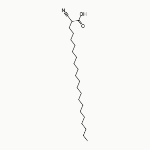 CCCCCCCCCCCCCCCCCCCCC(C#N)C(=O)O